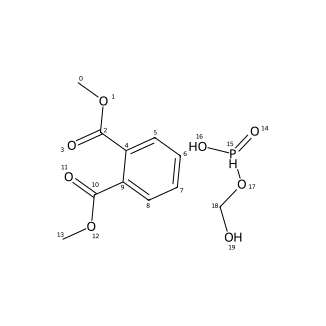 COC(=O)c1ccccc1C(=O)OC.O=[PH](O)OCO